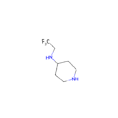 FC(F)(F)CNC1CCNCC1